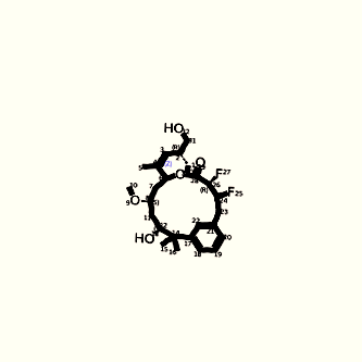 CC[C@H](/C=C(/C)C1C[C@@H](OC)C[C@H](O)C(C)(C)c2cccc(c2)CC(F)[C@H](F)C(=O)O1)CO